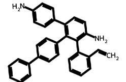 C=Cc1ccccc1-c1c(N)ccc(-c2ccc(N)cc2)c1-c1ccc(-c2ccccc2)cc1